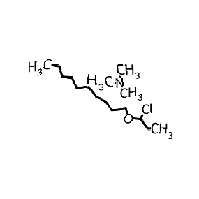 CCCCCCCCCCOC(Cl)CC.CN(C)C